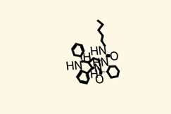 CCCCCCNC(=O)N[C@@H]1CCCC[C@@H]1C(=O)N1CC[C@@H]2[C@H](C3C=CC=CC3)Nc3ccccc3[C@@H]21